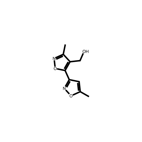 Cc1cc(-c2onc(C)c2CO)no1